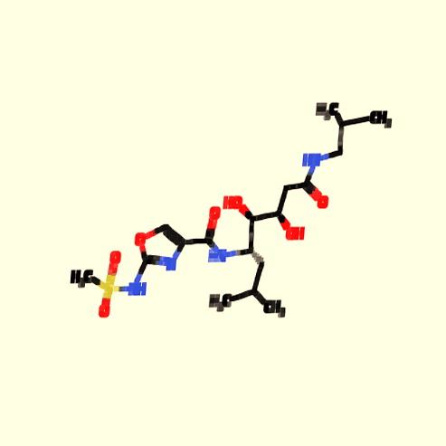 CC(C)CNC(=O)C[C@@H](O)[C@H](O)[C@H](CC(C)C)NC(=O)c1coc(NS(C)(=O)=O)n1